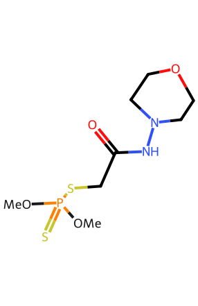 COP(=S)(OC)SCC(=O)NN1CCOCC1